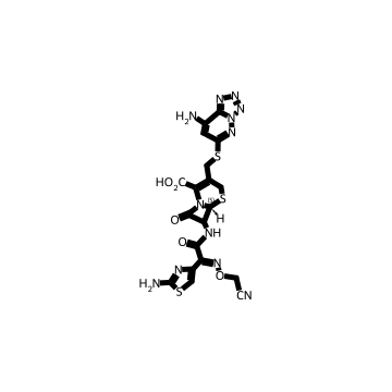 N#CCON=C(C(=O)NC1C(=O)N2C(C(=O)O)=C(CSc3cc(N)c4nnnn4n3)CS[C@@H]12)c1csc(N)n1